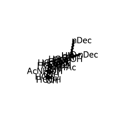 CCCCCCCCCCCCC/C=C/[C@@H](O)[C@H](CO[C@@H]1OC(CO)[C@@H](O[C@@H]2OC(CO)[C@H](O)[C@H](O[C@@H]3OC(CO)[C@@H](O)[C@H](O[C@@H]4OC(CO)[C@H](O)[C@H](O[C@@H]5OC(CO)[C@@H](O)[C@H](O[C@@H]6OC(CO)[C@H](O)[C@H](O)C6O)C5NC(C)=O)C4O)C3NC(C)=O)C2O)[C@H](O)C1O)NC(=O)CCCCCCCCCCCCCCCCCCC